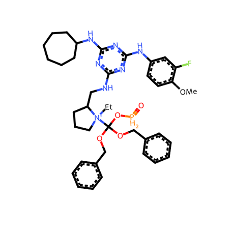 CC[N+]1(C(OCc2ccccc2)(OCc2ccccc2)O[PH2]=O)CCCC1CNc1nc(Nc2ccc(OC)c(F)c2)nc(NC2CCCCCC2)n1